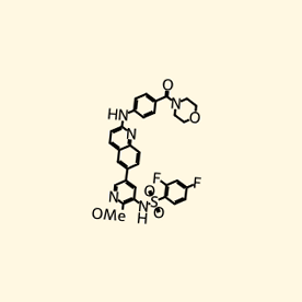 COc1ncc(-c2ccc3nc(Nc4ccc(C(=O)N5CCOCC5)cc4)ccc3c2)cc1NS(=O)(=O)c1ccc(F)cc1F